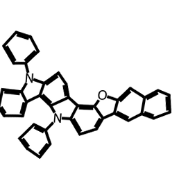 c1ccc(-n2c3ccccc3c3c2ccc2c4c5oc6cc7ccccc7cc6c5ccc4n(-c4ccccc4)c23)cc1